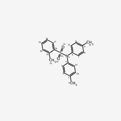 Cc1ccc(N(c2ccc(C)cc2)S(=O)(=O)c2ccccc2C)cc1